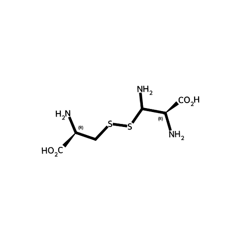 NC(SSC[C@H](N)C(=O)O)[C@H](N)C(=O)O